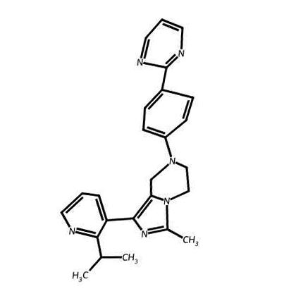 Cc1nc(-c2cccnc2C(C)C)c2n1CCN(c1ccc(-c3ncccn3)cc1)C2